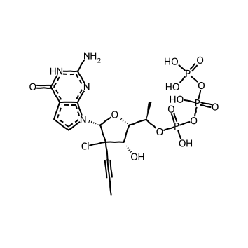 CC#CC1(Cl)[C@@H](O)[C@@H]([C@@H](C)OP(=O)(O)OP(=O)(O)OP(=O)(O)O)O[C@H]1n1ccc2c(=O)[nH]c(N)nc21